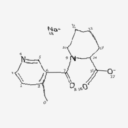 Cc1ccncc1C(=O)N1CCCCC1C(=O)[O-].[Na+]